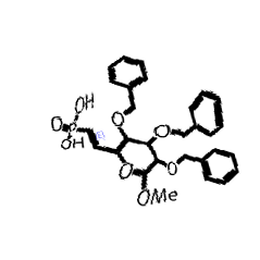 COC1OC(/C=C/P(=O)(O)O)C(OCc2ccccc2)C(OCc2ccccc2)C1OCc1ccccc1